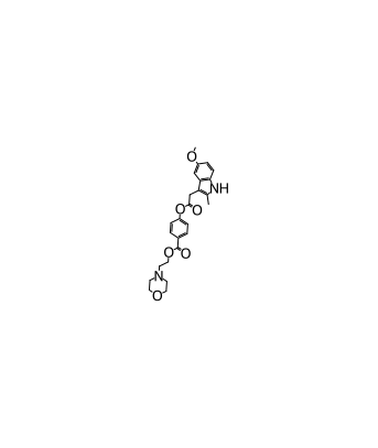 COc1ccc2[nH]c(C)c(CC(=O)Oc3ccc(C(=O)OCCN4CCOCC4)cc3)c2c1